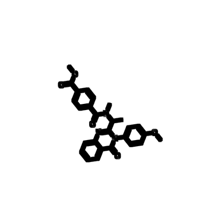 COC(=O)c1ccc(C(=O)N(C)C(C)c2nc3ccccc3c(=O)n2-c2ccc(OC)cc2)cc1